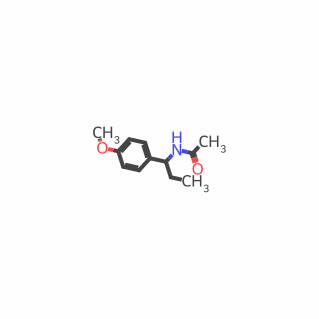 CCC(NC(C)=O)c1ccc(OC)cc1